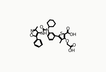 Cc1noc(-c2ccccc2)c1NC(=O)N(c1cccc(-c2sc(C(=O)O)c(OCC(=O)O)c2C)c1)C1CCCCC1